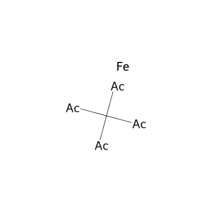 CC(=O)C(C(C)=O)(C(C)=O)C(C)=O.[Fe]